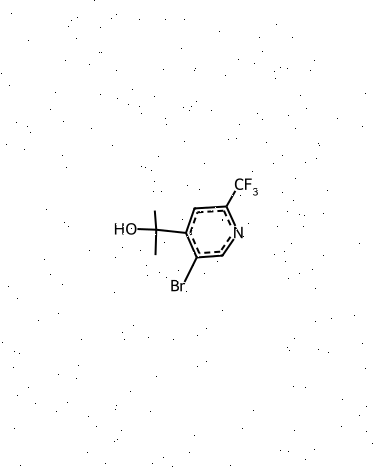 CC(C)(O)c1cc(C(F)(F)F)ncc1Br